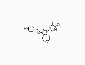 COc1ncc(-n2nc(OCC3CCNCC3)c3c2CCOCC3)cc1C